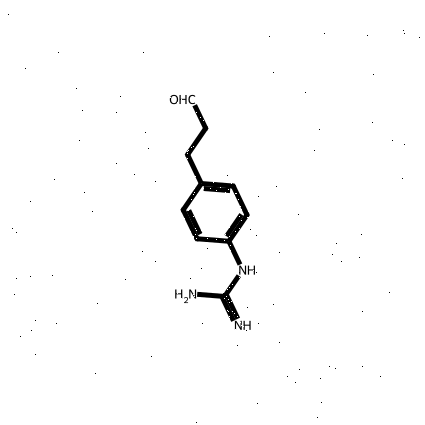 N=C(N)Nc1ccc(CCC=O)cc1